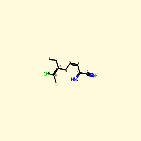 CC/C(C/C=C\C(=N)C#N)=C(/C)Cl